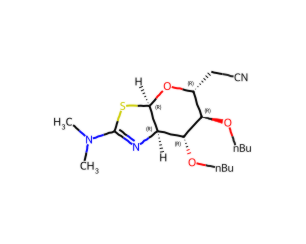 CCCCO[C@@H]1[C@H]2N=C(N(C)C)S[C@H]2O[C@H](CC#N)[C@H]1OCCCC